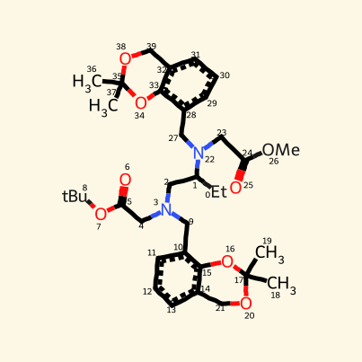 CCC(CN(CC(=O)OC(C)(C)C)Cc1cccc2c1OC(C)(C)OC2)N(CC(=O)OC)Cc1cccc2c1OC(C)(C)OC2